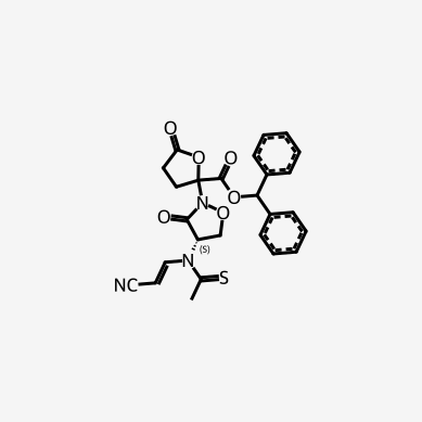 CC(=S)N(C=CC#N)[C@H]1CON(C2(C(=O)OC(c3ccccc3)c3ccccc3)CCC(=O)O2)C1=O